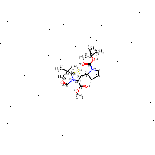 COC(=O)[C@@H]1[C@@H]([C@@H]2CCCN2C(=O)OC(C)(C)C)S[C@H](C(C)(C)C)N1C=O